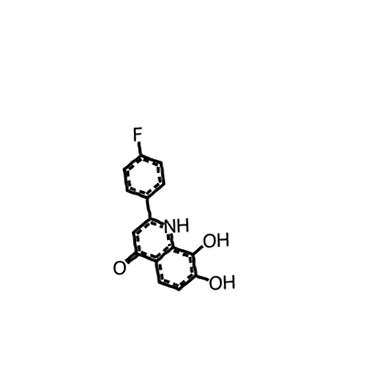 O=c1cc(-c2ccc(F)cc2)[nH]c2c(O)c(O)ccc12